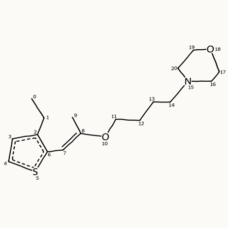 CCc1ccsc1/C=C(\C)OCCCCN1CCOCC1